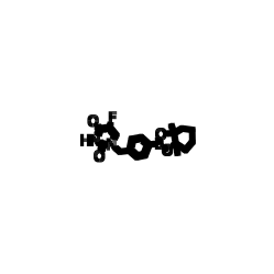 CC12CCCCC1(C)OB(c1ccc(Cn3cc(F)c(=O)[nH]c3=O)cc1)O2